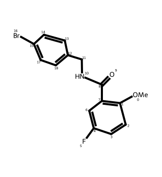 COc1ccc(F)cc1C(=O)NCc1ccc(Br)cc1